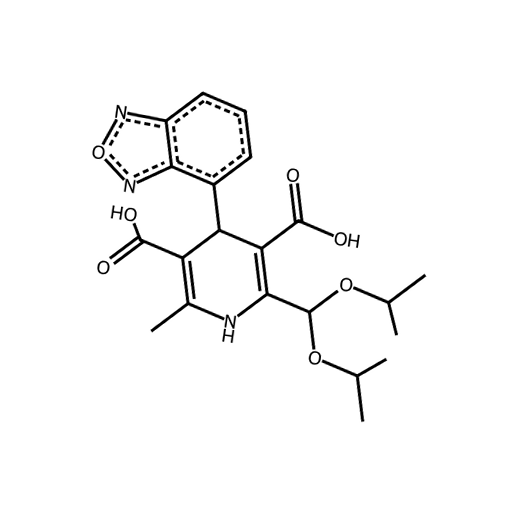 CC1=C(C(=O)O)C(c2cccc3nonc23)C(C(=O)O)=C(C(OC(C)C)OC(C)C)N1